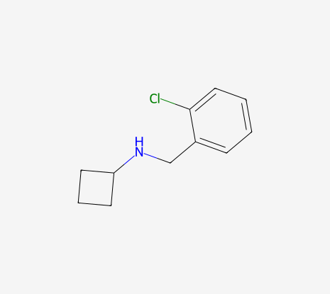 Clc1ccccc1CNC1CCC1